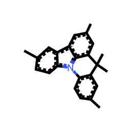 Cc1ccc2c(c1)C(C)(C)c1cc(C)cc3c4cc(C)ccc4n-2c13